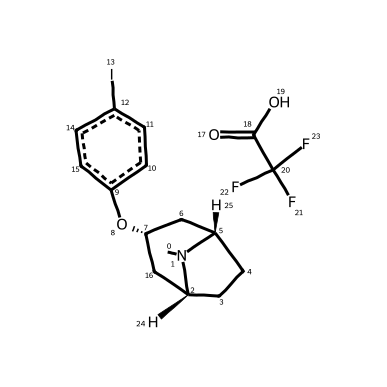 CN1[C@@H]2CC[C@H]1C[C@@H](Oc1ccc(I)cc1)C2.O=C(O)C(F)(F)F